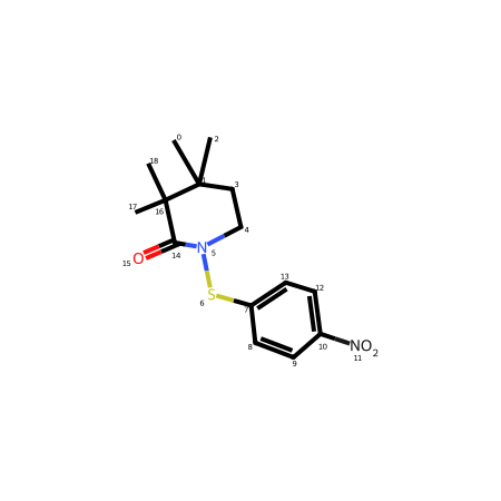 CC1(C)CCN(Sc2ccc([N+](=O)[O-])cc2)C(=O)C1(C)C